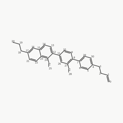 C=CCCc1ccc(-c2ccc(-c3ccc4cc(CCC)ccc4c3F)cc2F)cc1